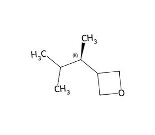 CC(C)[C@@H](C)C1COC1